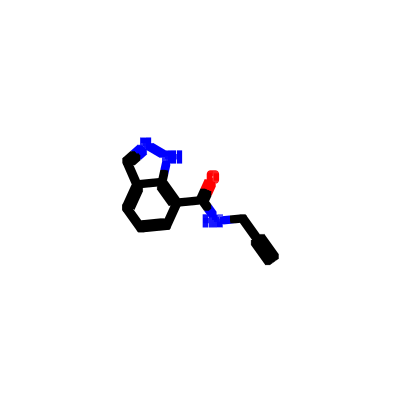 C#CCNC(=O)c1cccc2cn[nH]c12